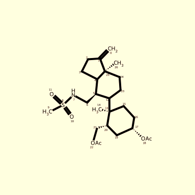 C=C1CCC2[C@H](CNS(C)(=O)=O)C([C@@]3(C)CC[C@H](OC(C)=O)C[C@@H]3COC(C)=O)CC[C@]12C